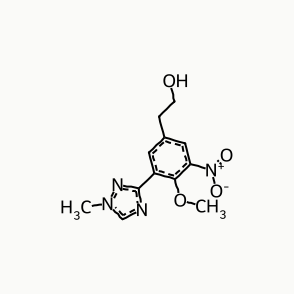 COc1c(-c2ncn(C)n2)cc(CCO)cc1[N+](=O)[O-]